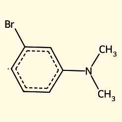 CN(C)c1cc[c]c(Br)c1